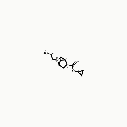 O=C(OC1CC1)N1CC2CC1CN2CCO